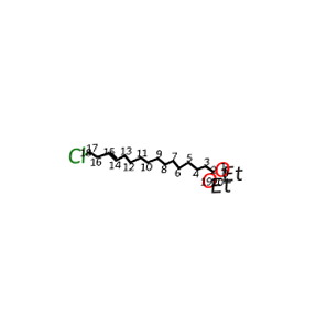 CCOC(CCCCCCCCCCC/C=C/CCCl)OCC